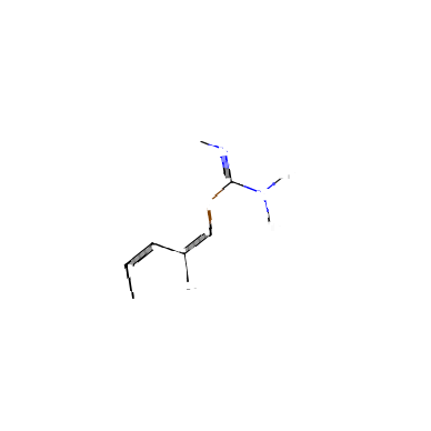 C/C=C\C(=C/S/C(=N\C=O)N(CCC)CCC)CC